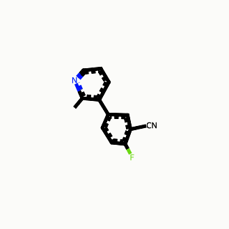 Cc1ncccc1-c1ccc(F)c(C#N)c1